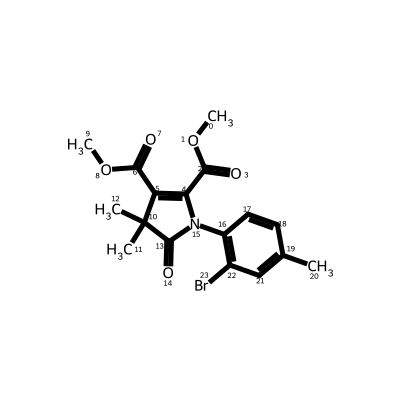 COC(=O)C1=C(C(=O)OC)C(C)(C)C(=O)N1c1ccc(C)cc1Br